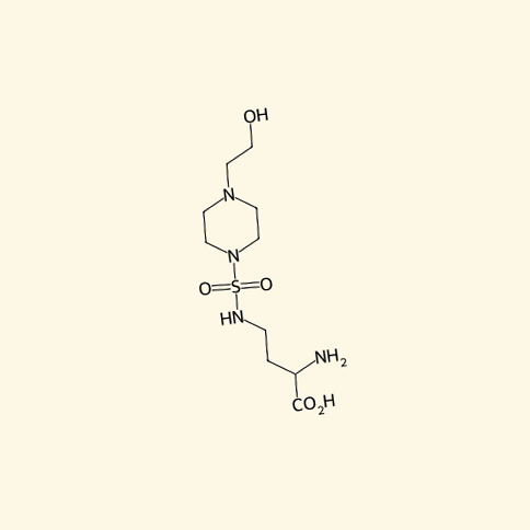 NC(CCNS(=O)(=O)N1CCN(CCO)CC1)C(=O)O